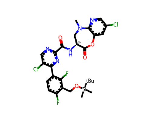 CN1C[C@H](NC(=O)c2ncc(Cl)c(-c3ccc(F)c(CO[Si](C)(C)C(C)(C)C)c3F)n2)C(=O)Oc2cc(Cl)cnc21